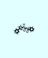 O=C(NC(=O)c1ccccc1)NC1=NC(c2ccncc2)CS1